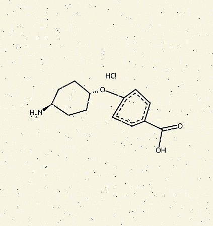 Cl.N[C@H]1CC[C@H](Oc2ccc(C(=O)O)cc2)CC1